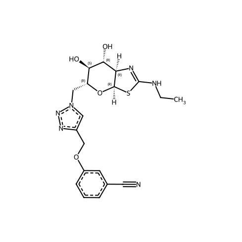 CCNC1=N[C@@H]2[C@@H](O)[C@H](O)[C@@H](Cn3cc(COc4cccc(C#N)c4)nn3)O[C@@H]2S1